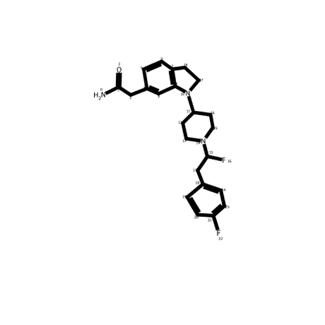 NC(=O)Cc1ccc2c(c1)N(C1CCN(C(F)Cc3ccc(F)cc3)CC1)CC2